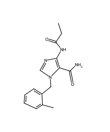 CCC(=O)Nc1ncn(Cc2ccccc2C)c1C(N)=O